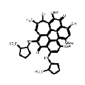 COc1c2c3c4c(c(NC5CCCC5C(=O)O)c(=O)c5c(NC6CCCC6C(=O)O)cc(OC)c(c6c(OC)cc(O)c(c1=O)c63)c54)C=C(C)C2C(C)=O